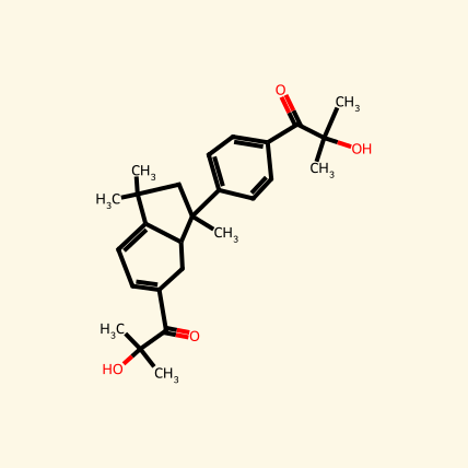 CC(C)(O)C(=O)C1=CC=C2C(C1)C(C)(c1ccc(C(=O)C(C)(C)O)cc1)CC2(C)C